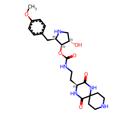 COc1ccc(C[C@H]2NC[C@H](O)[C@H]2OC(=O)NCC[C@@H]2NC(=O)C3(CCNCC3)NC2=O)cc1